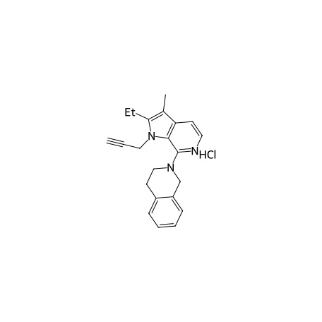 C#CCn1c(CC)c(C)c2ccnc(N3CCc4ccccc4C3)c21.Cl